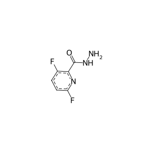 NNC(=O)c1nc(F)ccc1F